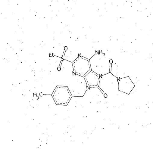 CCS(=O)(=O)c1nc(N)c2c(n1)n(Cc1ccc(C)cc1)c(=O)n2C(=O)N1CCCC1